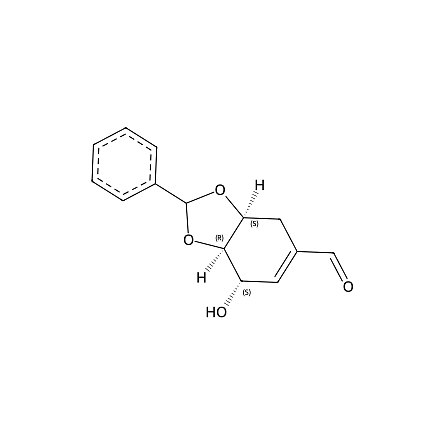 O=CC1=C[C@H](O)[C@H]2OC(c3ccccc3)O[C@H]2C1